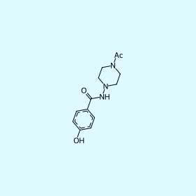 CC(=O)N1CCN(NC(=O)c2ccc(O)cc2)CC1